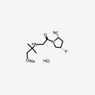 COCC(C)(C)NCC(=O)N1C[C@@H](F)C[C@H]1C#N.Cl